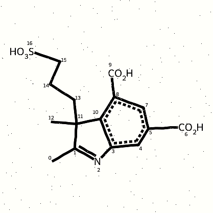 CC1=Nc2cc(C(=O)O)cc(C(=O)O)c2C1(C)CCCS(=O)(=O)O